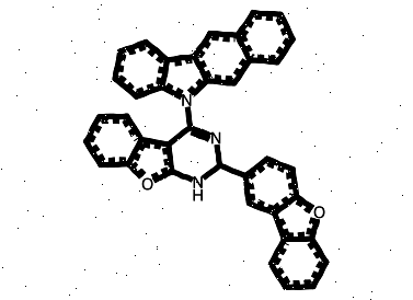 c1ccc2cc3c(cc2c1)c1ccccc1n3C1=NC(c2ccc3oc4ccccc4c3c2)Nc2oc3ccccc3c21